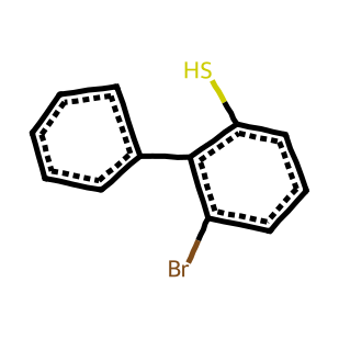 Sc1cccc(Br)c1-c1ccccc1